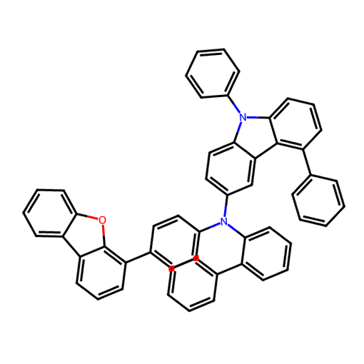 c1ccc(-c2ccccc2N(c2ccc(-c3cccc4c3oc3ccccc34)cc2)c2ccc3c(c2)c2c(-c4ccccc4)cccc2n3-c2ccccc2)cc1